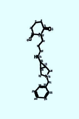 O=C1CCCC(=O)N1CCCNC1C2CN(Cc3ccccc3)CC21